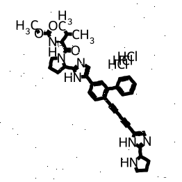 COC(=O)N[C@H](C(=O)N1CCCC1c1ncc(-c2ccc(C#CC#Cc3cnc(C4CCCN4)[nH]3)c(-c3ccccc3)c2)[nH]1)C(C)C.Cl.Cl.Cl